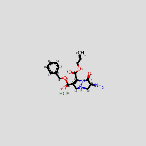 C=CCOC(=O)C1=C(C(=O)OCc2ccccc2)CN2CC(N)C(=O)N12.Cl